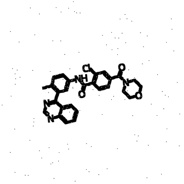 Cc1ccc(NC(=O)c2ccc(C(=O)N3CCOCC3)cc2Cl)cc1-c1ncnc2ccccc12